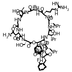 CC[C@H](C)C1NC(=O)[C@@H](CCCNC(=N)N)NC(=O)[C@H](CC(C)C)NC(=O)[C@H]([C@H](O)C(C)C)NC(=O)[C@@H](NC(=O)[C@H](CC(C)C)NC(=O)[C@@H](Cc2ccccc2F)NC(=O)OC(C)(C)C)[C@@H](c2ccccc2)OC(=O)[C@H](CO)NC(=O)[C@H]([C@H](O)C(N)=O)NC(=O)CNC(=O)C([C@H](C)O)NC1=O